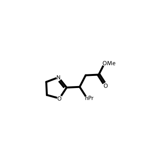 CCCC(CC(=O)OC)C1=NCCO1